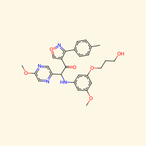 COc1cc(NC(C(=O)c2conc2-c2ccc(C)cc2)c2cnc(OC)cn2)cc(OCCCO)c1